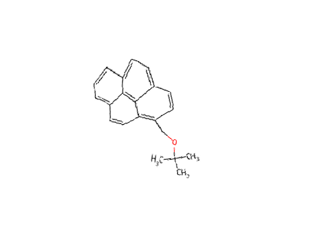 CC(C)(C)OCc1ccc2ccc3cccc4ccc1c2c34